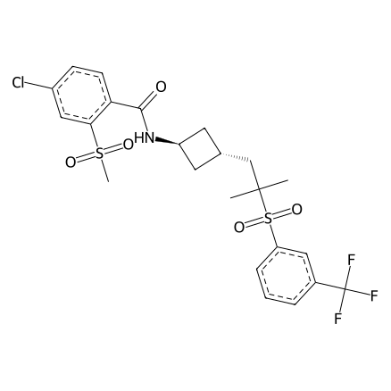 CC(C)(C[C@H]1C[C@H](NC(=O)c2ccc(Cl)cc2S(C)(=O)=O)C1)S(=O)(=O)c1cccc(C(F)(F)F)c1